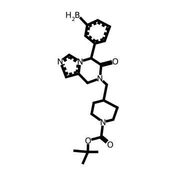 Bc1cccc(C2C(=O)N(CC3CCN(C(=O)OC(C)(C)C)CC3)Cc3cncn32)c1